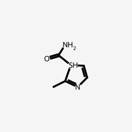 CC1=NC=C[SH]1C(N)=O